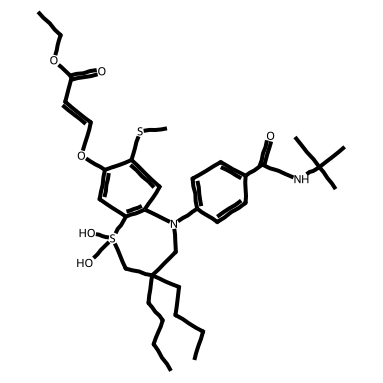 CCCCC1(CCCC)CN(c2ccc(C(=O)NC(C)(C)C)cc2)c2cc(SC)c(O/C=C/C(=O)OCC)cc2S(O)(O)C1